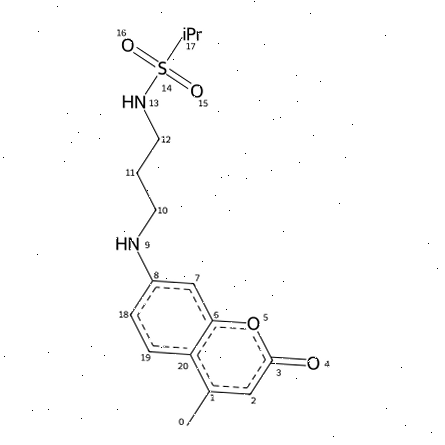 Cc1cc(=O)oc2cc(NCCCNS(=O)(=O)C(C)C)ccc12